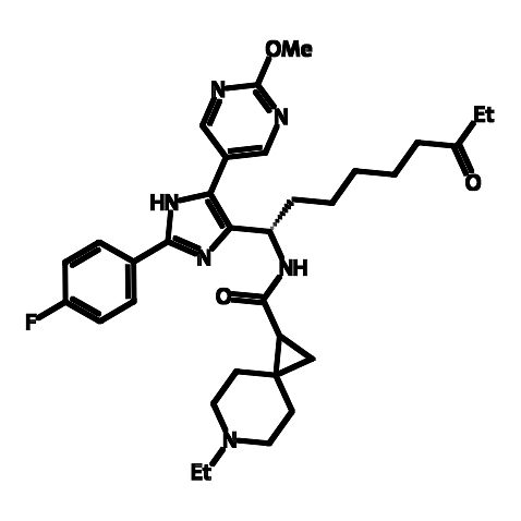 CCC(=O)CCCCC[C@H](NC(=O)C1CC12CCN(CC)CC2)c1nc(-c2ccc(F)cc2)[nH]c1-c1cnc(OC)nc1